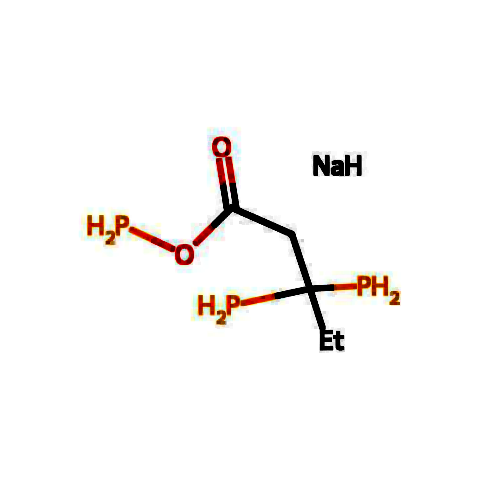 CCC(P)(P)CC(=O)OP.[NaH]